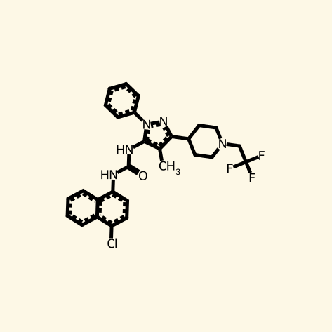 Cc1c(C2CCN(CC(F)(F)F)CC2)nn(-c2ccccc2)c1NC(=O)Nc1ccc(Cl)c2ccccc12